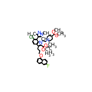 COC(OC)C1CCN(CCn2c(C(=O)OC(C)(C)C)c(CCCOc3cccc4cc(F)ccc34)c3ccc(Cl)c(-c4c(C)nn(C)c4C)c32)CC1